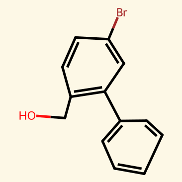 OCc1ccc(Br)cc1-c1ccccc1